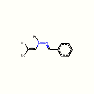 CC(C)N(C=C(C#N)C#N)/N=C/c1ccccc1